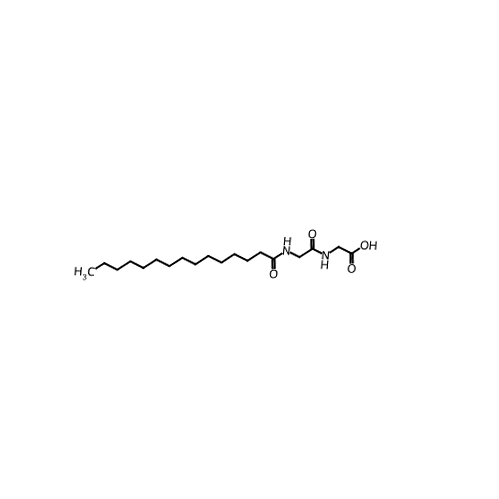 CCCCCCCCCCCCCCC(=O)NCC(=O)NCC(=O)O